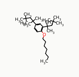 CCCCCCCOc1ccc(C(C)(C)CC(C)(C)C)cc1C(C)(C)CC(C)(C)C